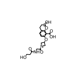 O=C(CCO)NCC(=O)N1CC(Oc2ccc3c(c2C(=O)O)OB(O)CC3)C1